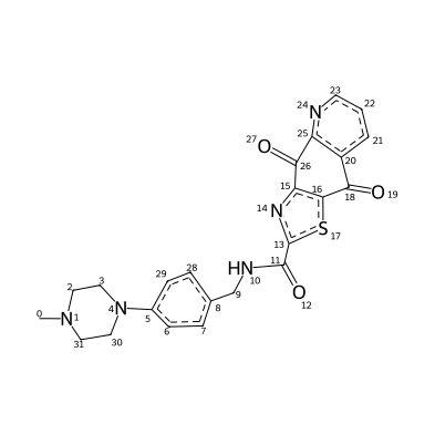 CN1CCN(c2ccc(CNC(=O)c3nc4c(s3)C(=O)c3cccnc3C4=O)cc2)CC1